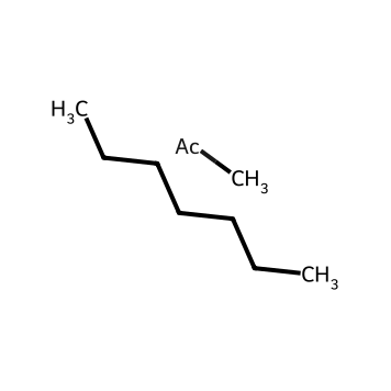 CC(C)=O.CCCCCCC